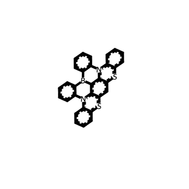 c1ccc2c(c1)B1c3ccccc3-n3c4ccccc4sc4cc5sc6ccccc6n-2c5c1c43